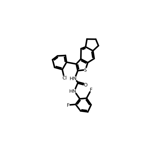 O=C(Nc1sc2cc3c(cc2c1-c1ccccc1Cl)CCC3)Nc1c(F)cccc1F